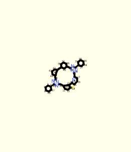 c1ccc(-c2nc3nc(n2)c2ccc4sc5ccc(nc5c4c2)c2nc(-c4ccccc4)nc(n2)c2cccc(c2)c2cccc3c2)cc1